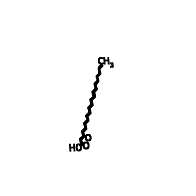 CCCCCCCCC=CCCCCCCCCCC(=O)CC(=O)O